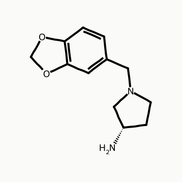 N[C@H]1CCN(Cc2ccc3c(c2)OCO3)C1